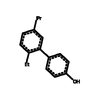 CCc1ccc(C(C)C)cc1-c1ccc(O)cc1